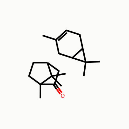 CC12CCC(CC1=O)C2(C)C.CC1=CCC2C(C1)C2(C)C